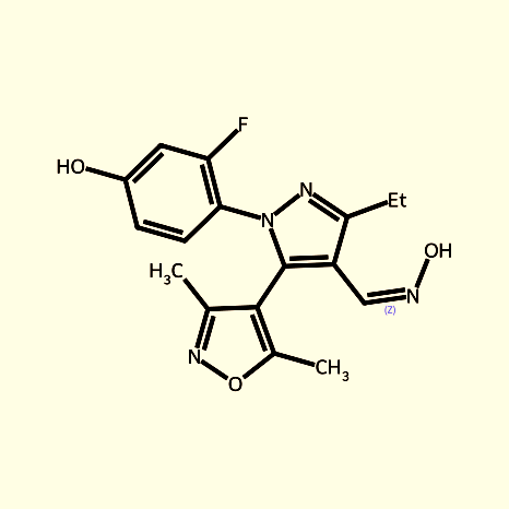 CCc1nn(-c2ccc(O)cc2F)c(-c2c(C)noc2C)c1/C=N\O